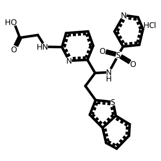 Cl.O=C(O)CNc1cccc(C(Cc2cc3ccccc3s2)NS(=O)(=O)c2cccnc2)n1